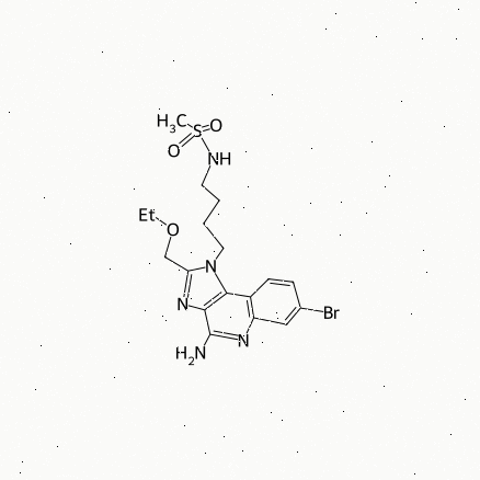 CCOCc1nc2c(N)nc3cc(Br)ccc3c2n1CCCCNS(C)(=O)=O